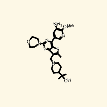 COc1ncc(-c2nc(N3CCOCC3)nc3c(CN4CCC(C(C)(C)O)CC4)c(C)sc23)cc1N